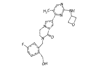 Cc1cnc(NC2COC2)nc1-c1cc2n(c1)CCN(Cc1cc(F)ccc1CO)C2=O